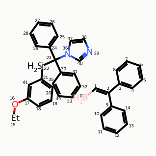 BC=C(c1ccccc1)c1ccccc1.CCOc1cccc([SiH2]C(c2ccccc2)(c2ccccc2)n2ccnc2)c1